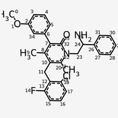 COc1cccc(-c2c(C)c(Cc3c(F)cccc3Cl)c(C)n(CC(N)c3ccccc3)c2=O)c1